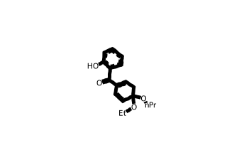 CCCOC1(OCC)C=CC(C(=O)c2ccccc2O)=CC1